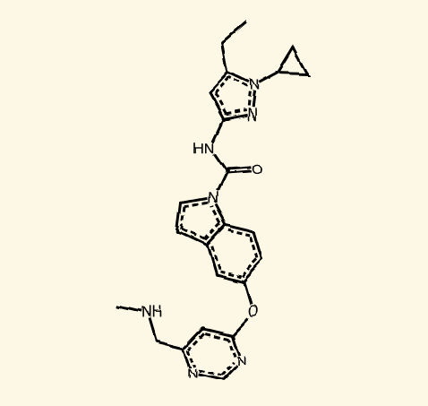 CCc1cc(NC(=O)n2ccc3cc(Oc4cc(CNC)ncn4)ccc32)nn1C1CC1